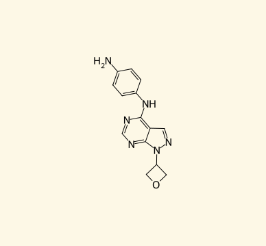 Nc1ccc(Nc2ncnc3c2cnn3C2COC2)cc1